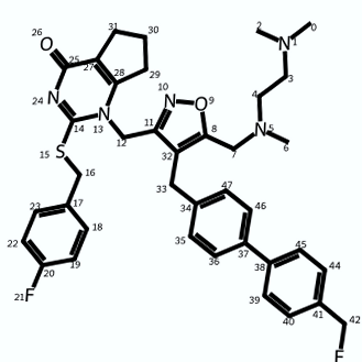 CN(C)CCN(C)Cc1onc(Cn2c(SCc3ccc(F)cc3)nc(=O)c3c2CCC3)c1Cc1ccc(-c2ccc(CF)cc2)cc1